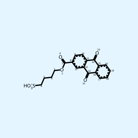 O=C(OCCCCS(=O)(=O)O)c1ccc2c(c1)C(=O)c1ccccc1C2=O